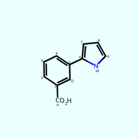 O=C(O)c1cccc(C2=CC=C[N]2)c1